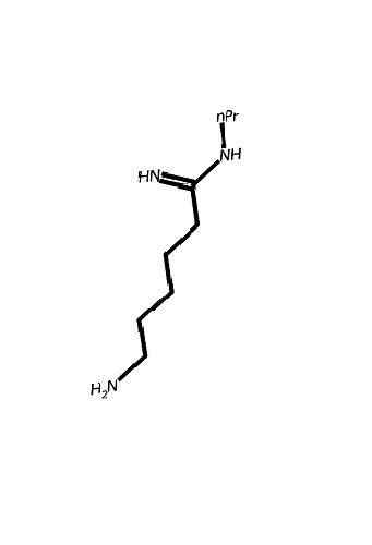 CCCNC(=N)CCCCCN